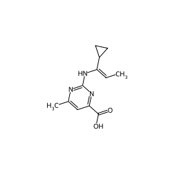 CC=C(Nc1nc(C)cc(C(=O)O)n1)C1CC1